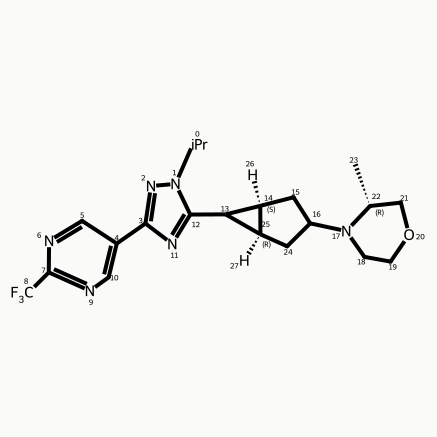 CC(C)n1nc(-c2cnc(C(F)(F)F)nc2)nc1C1[C@H]2CC(N3CCOC[C@H]3C)C[C@@H]12